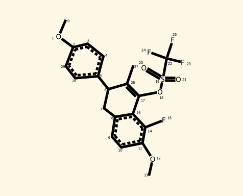 COc1ccc(C2Cc3ccc(OC)c(F)c3C(OS(=O)(=O)C(F)(F)F)=C2C)cc1